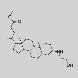 COC(=O)CCC(C)C1CCC2C3CCC4C[C@H](NCCO)CCC4(C)C3CCC12C